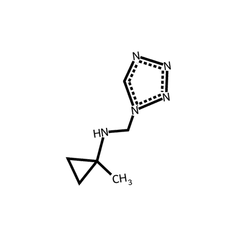 CC1(NCn2cnnn2)CC1